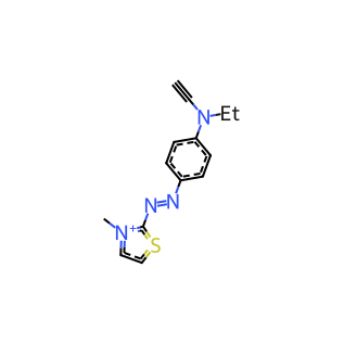 C#CN(CC)c1ccc(/N=N/c2scc[n+]2C)cc1